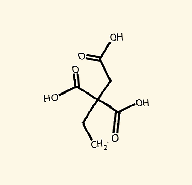 [CH2]CC(CC(=O)O)(C(=O)O)C(=O)O